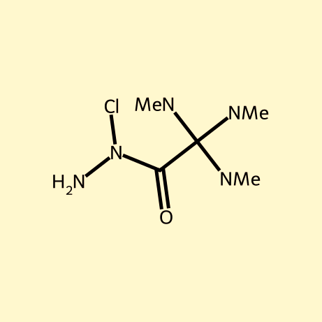 CNC(NC)(NC)C(=O)N(N)Cl